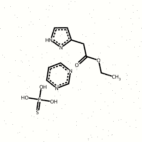 CCOC(=O)Cc1cc[nH]n1.OP(O)(O)=S.c1cncnc1